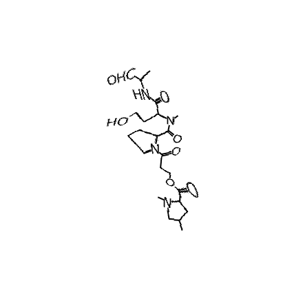 CC1CC(C(=O)OCCC(=O)N2CCCC2C(=O)N(C)C(CCO)C(=O)NC(C)C=O)N(C)C1